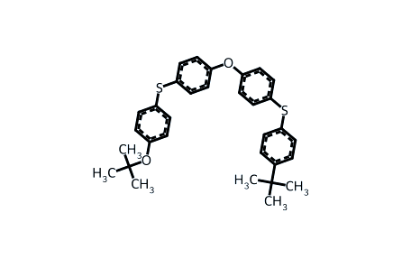 CC(C)(C)Oc1ccc(Sc2ccc(Oc3ccc(Sc4ccc(C(C)(C)C)cc4)cc3)cc2)cc1